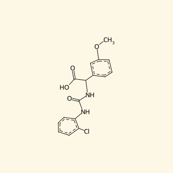 COc1cccc(C(NC(=O)Nc2ccccc2Cl)C(=O)O)c1